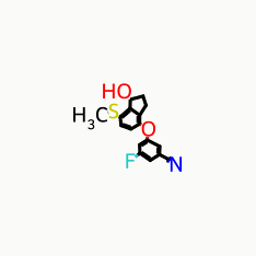 CSc1ccc(Oc2cc(F)cc(C#N)c2)c2c1C(O)CC2